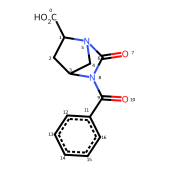 O=C(O)C1CC2CN1C(=O)N2C(=O)c1ccccc1